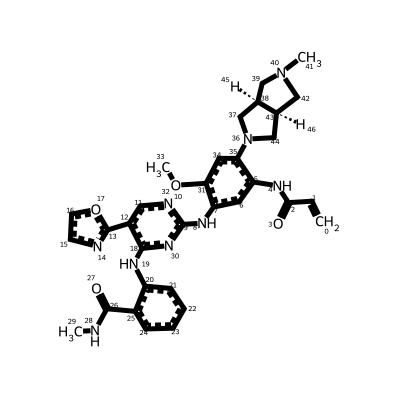 C=CC(=O)Nc1cc(Nc2ncc(-c3ncco3)c(Nc3ccccc3C(=O)NC)n2)c(OC)cc1N1C[C@H]2CN(C)C[C@H]2C1